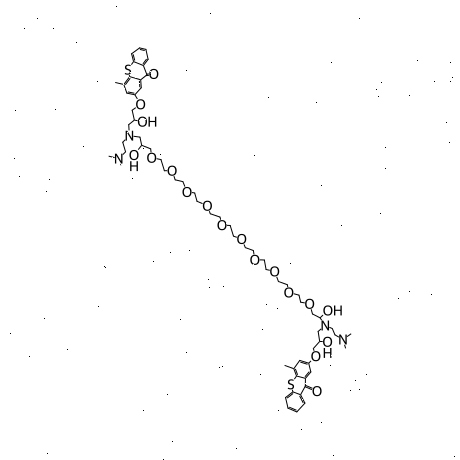 Cc1cc(OCC(O)CN(CCN(C)C)CC(O)COCCOCCOCCOCCOCCOCCOCCOCCOCCOCC(O)N(CCN(C)C)CC(O)COc2cc(C)c3sc4ccccc4c(=O)c3c2)cc2c(=O)c3ccccc3sc12